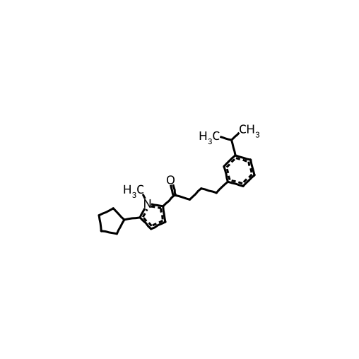 CC(C)c1cccc(CCCC(=O)c2ccc(C3CCCC3)n2C)c1